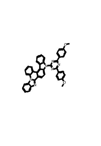 COc1ccc(-c2nc(-c3ccc(OC)cc3)nc(-n3c4ccccc4c4c5c6ccccc6n6c7ccccc7nc6c5ccc43)n2)cc1